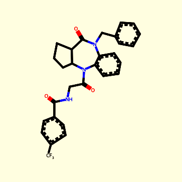 O=C(NCC(=O)N1c2ccccc2N(Cc2ccccc2)C(=O)C2CCCC21)c1ccc(C(F)(F)F)cc1